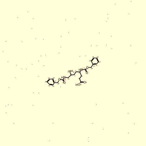 NC(CCC(CCC(=O)O)NC(=O)OCc1ccccc1)CNC(=O)OCc1ccccc1